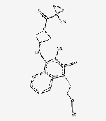 CCOCCn1c(=O)c(C#N)c(NC2CN(C(=O)C3(C#N)CC3)C2)c2ccccc21